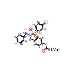 COC(=O)Cc1ccc(CN([C@@H](C)c2ccccc2)S(=O)(=O)c2ccc(Cl)cc2)cc1